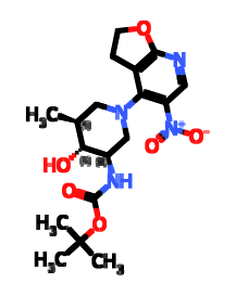 C[C@H]1CN(c2c([N+](=O)[O-])cnc3c2CCO3)C[C@@H](NC(=O)OC(C)(C)C)[C@@H]1O